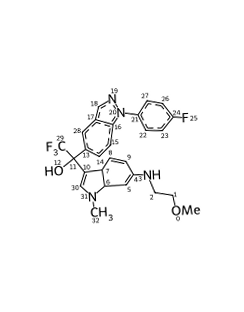 COCCNC1=CC2C(C=C1)C(C(O)(c1ccc3c(cnn3-c3ccc(F)cc3)c1)C(F)(F)F)=CN2C